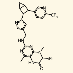 Cc1nc(NCc2cnn(C3C4CC4C3c3ccc(C(F)(F)F)nc3)c2)nc2c1NC(=O)C(C(C)C)N2C